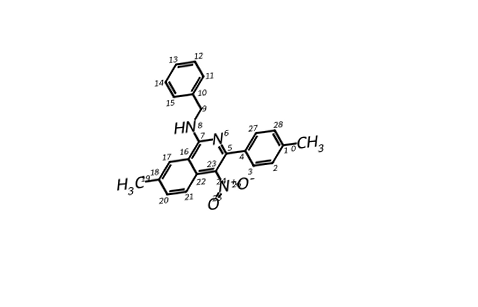 Cc1ccc(-c2nc(NCc3ccccc3)c3cc(C)ccc3c2[N+](=O)[O-])cc1